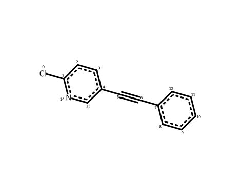 Clc1ccc(C#Cc2ccccc2)cn1